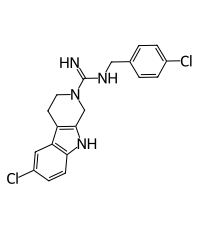 N=C(NCc1ccc(Cl)cc1)N1CCc2c([nH]c3ccc(Cl)cc23)C1